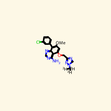 [2H]C([2H])([2H])n1cnc(COc2cc(OC)c(-c3cccc(Cl)c3)c3ncnc(N)c23)n1